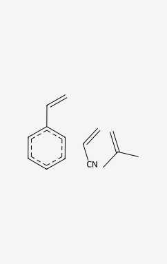 C=C(C)C.C=CC#N.C=Cc1ccccc1